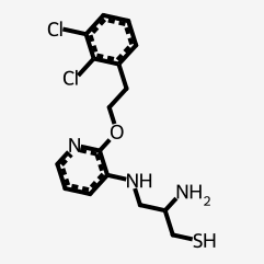 NC(CS)CNc1cccnc1OCCc1cccc(Cl)c1Cl